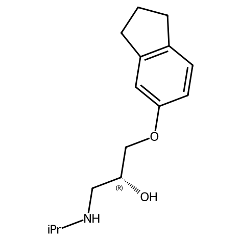 CC(C)NC[C@@H](O)COc1ccc2c(c1)CCC2